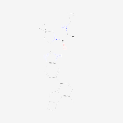 COCN[C@H](C(=O)N1CC2(CC2)C[C@H]1c1nc2ccc(-c3ccc(C)c4c3CC3CCC43)cc2[nH]1)C(C)C